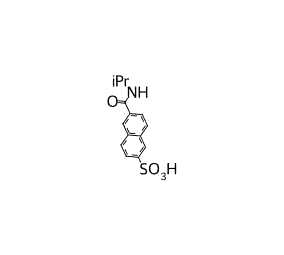 CC(C)NC(=O)c1ccc2cc(S(=O)(=O)O)ccc2c1